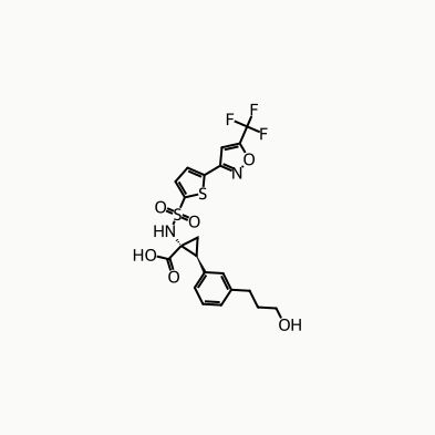 O=C(O)[C@@]1(NS(=O)(=O)c2ccc(-c3cc(C(F)(F)F)on3)s2)C[C@H]1c1cccc(CCCO)c1